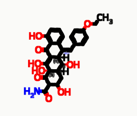 CCOc1ccc(/C=C2\c3cccc(O)c3C(=O)C3=C(O)[C@]4(O)C(=O)C(C(N)=O)C(O)C[C@@H]4[C@@H](O)[C@@H]32)cc1